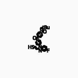 CC(C)(C)OC(=O)N1CCC(C(=O)N2CCC(n3c(CCS)nc4cc(F)ccc43)CC2)CC1